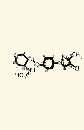 Cc1nn(-c2ccc(OC[C@H]3COCC[C@@H]3NC(=O)O)cc2)cc1Cl